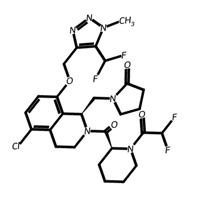 Cn1nnc(COc2ccc(Cl)c3c2[C@@H](CN2CCCC2=O)N(C(=O)[C@@H]2CCCCN2C(=O)C(F)F)CC3)c1C(F)F